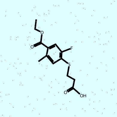 CCOC(=O)c1cc(F)c(SCCC(=O)O)cc1C